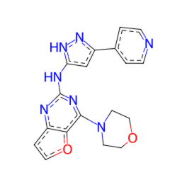 c1cc(-c2cc(Nc3nc(N4CCOCC4)c4occc4n3)[nH]n2)ccn1